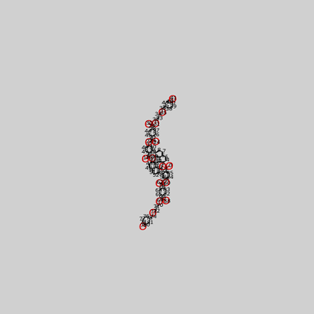 O=C(Oc1ccc2ccccc2c1-c1c(OC(=O)c2ccc(OC(=O)C3CCC(C(=O)OCCCOCC4CCC5OC5C4)CC3)cc2)ccc2ccccc12)c1ccc(OC(=O)C2CCC(C(=O)OCCCOCC3CCC4OC4C3)CC2)cc1